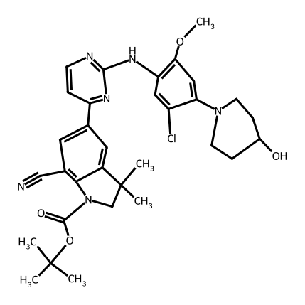 COc1cc(N2CCC(O)CC2)c(Cl)cc1Nc1nccc(-c2cc(C#N)c3c(c2)C(C)(C)CN3C(=O)OC(C)(C)C)n1